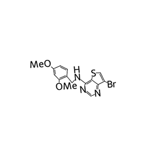 COc1ccc(CNc2ncnc3c(Br)csc23)c(OC)c1